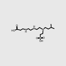 CC(C)CCN(CCNCCNCCC(=O)O)CCS(=O)(=O)O